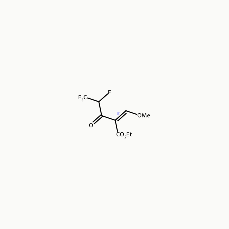 CCOC(=O)/C(=C\OC)C(=O)C(F)C(F)(F)F